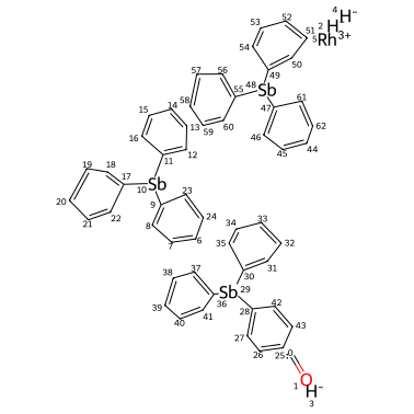 [C]=O.[H-].[H-].[H-].[Rh+3].c1cc[c]([Sb]([c]2ccccc2)[c]2ccccc2)cc1.c1cc[c]([Sb]([c]2ccccc2)[c]2ccccc2)cc1.c1cc[c]([Sb]([c]2ccccc2)[c]2ccccc2)cc1